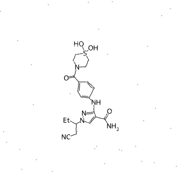 CCC(CC#N)n1cc(C(N)=O)c(Nc2ccc(C(=O)N3CCS(O)(O)CC3)cc2)n1